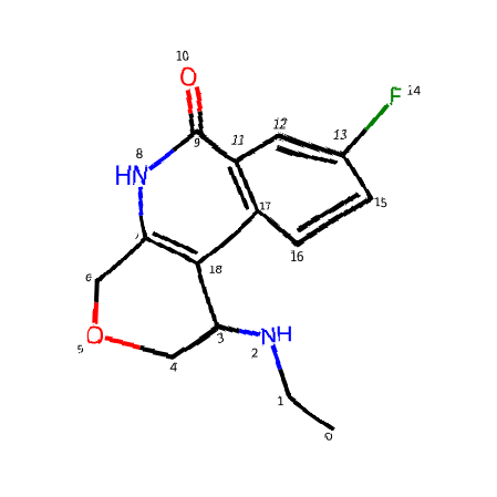 CCNC1COCc2[nH]c(=O)c3cc(F)ccc3c21